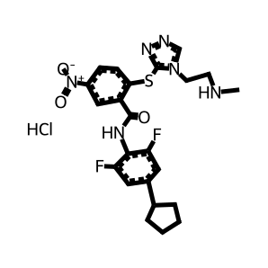 CNCCn1cnnc1Sc1ccc([N+](=O)[O-])cc1C(=O)Nc1c(F)cc(C2CCCC2)cc1F.Cl